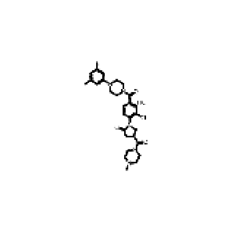 Cc1cc(C)cc(N2CCN(C(=O)c3ccc(N4CC(C(=O)N5CCN(C)CC5)CC4=O)c(Cl)c3)CC2)c1.Cl